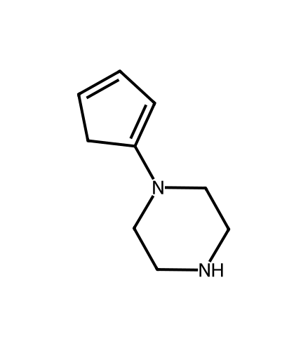 C1=CCC(N2CCNCC2)=C1